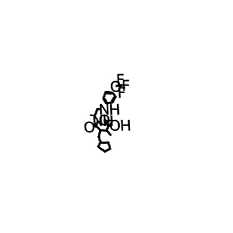 CC(C(=O)O)C(CC1CCCC1)C(=O)N[C@@H](C)CNc1ccc(OC(F)(F)F)cc1